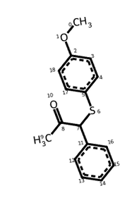 COc1ccc(SC(C(C)=O)c2ccccc2)cc1